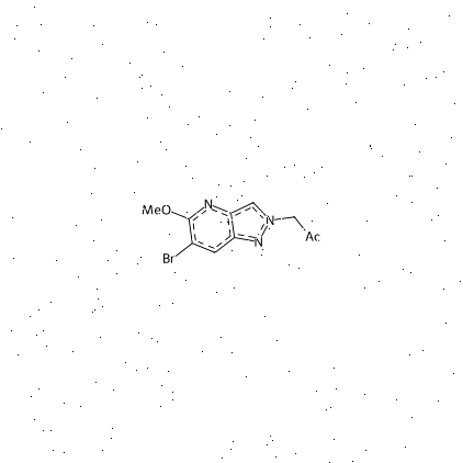 COc1nc2cn(CC(C)=O)nc2cc1Br